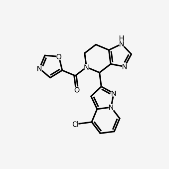 O=C(c1cnco1)N1CCc2[nH]cnc2C1c1cc2c(Cl)cccn2n1